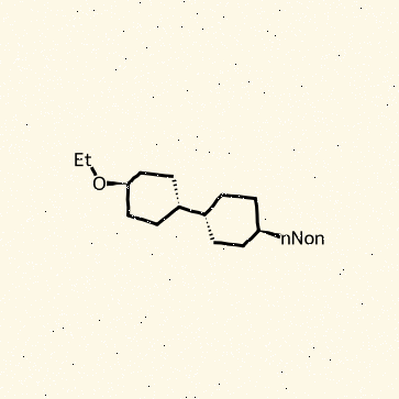 CCCCCCCCC[C@H]1CC[C@H]([C@H]2CC[C@H](OCC)CC2)CC1